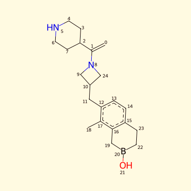 C=C(C1CCNCC1)N1CC(Cc2ccc3c(c2C)CB(O)CC3)C1